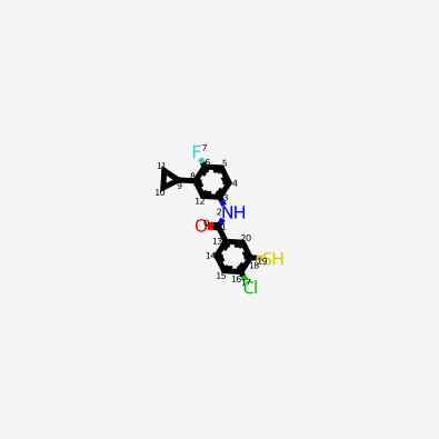 O=C(Nc1ccc(F)c(C2CC2)c1)c1ccc(Cl)c(S)c1